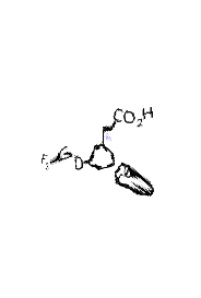 O=C(O)/C=C/c1cccc(OC(F)(F)F)c1.c1cc2ccc1CO2